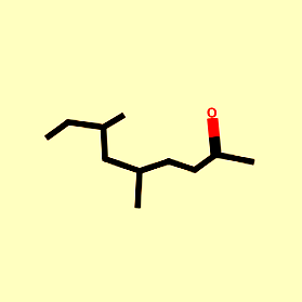 CCC(C)CC(C)CCC(C)=O